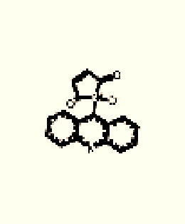 O=C1C=CC(=O)[N+]1([O-])c1c2ccccc2nc2ccccc12